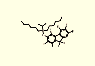 CCCCCC[Si](CCCCCC)(Oc1c(F)c(F)c2c(c1F)-c1c([c]c(F)c(F)c1F)C2(F)F)C(C)C